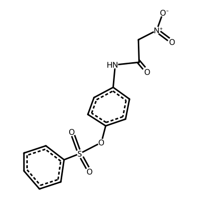 O=C(C[N+](=O)[O-])Nc1ccc(OS(=O)(=O)c2ccccc2)cc1